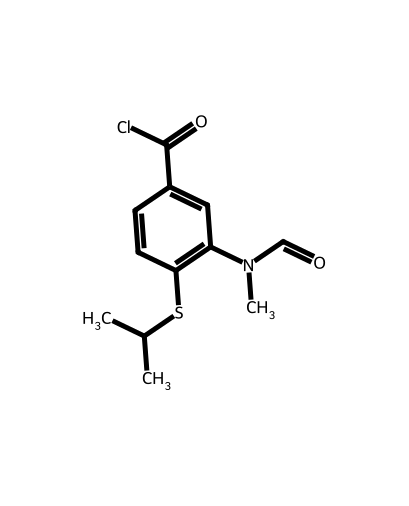 CC(C)Sc1ccc(C(=O)Cl)cc1N(C)C=O